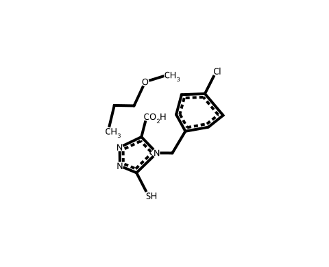 CCCOC.O=C(O)c1nnc(S)n1Cc1ccc(Cl)cc1